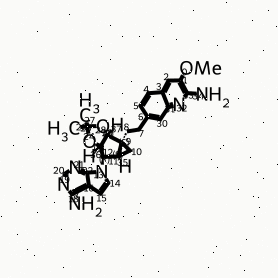 COc1cc2ccc(CC[C@]34C[C@@H]3[C@@H](n3ccc5c(N)ncnc53)[C@@H]3OC(C)(C)O[C@@H]34)cc2nc1N